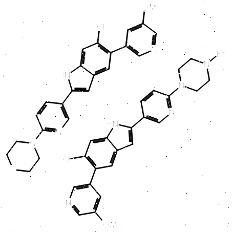 CCN1CCN(c2ccc(-c3cc4cc(-c5cncc(OC)c5)c(Cl)cc4[nH]3)cn2)CC1.COc1cncc(-c2cc3cc(-c4ccc(N5CCSCC5)nc4)[nH]c3cc2Cl)c1